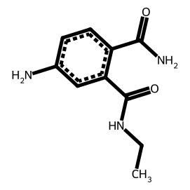 CCNC(=O)c1cc(N)ccc1C(N)=O